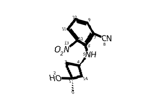 C[C@]1(O)C[C@@H](Nc2c(C#N)cccc2[N+](=O)[O-])C1